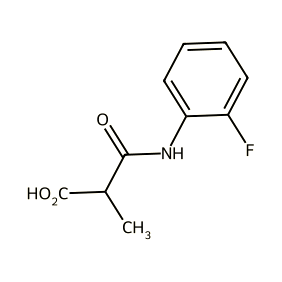 CC(C(=O)O)C(=O)Nc1ccccc1F